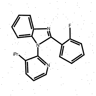 CC(C)c1cccnc1-n1c(-c2ccccc2F)nc2ccccc21